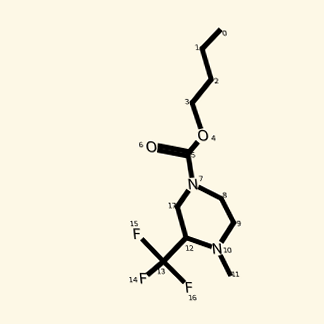 CCCCOC(=O)N1CCN(C)C(C(F)(F)F)C1